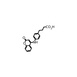 O=C(O)CCCc1ccc(Nc2cc(=O)oc3ccccc23)cc1